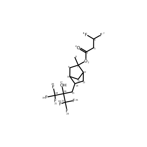 CC1(OC(=O)CC(F)F)CC2CC1CC2CC(O)(C(F)(F)F)C(F)(F)F